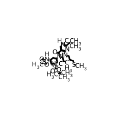 CSCCCNc1nc(C(C)(C)C)ncc1C(=O)N(CC(C)C)[C@H]1C[C@@H](NS(C)(=O)=O)CN(C(=O)OC(C)(C)C)C1